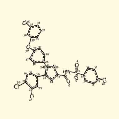 O=C(NS(=O)(=O)c1ccc(Cl)cc1)c1cc(-c2ccc(Cl)c(Cl)c2)n(-c2ccc(Oc3cccc(Cl)c3)cc2)n1